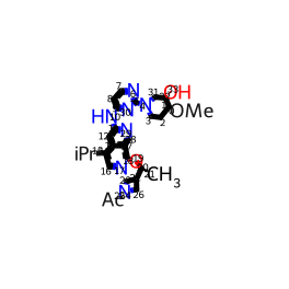 CO[C@H]1CCN(c2nccc(Nc3cc4c(C(C)C)cnc(O[C@@H](C)C5CN(C(C)=O)C5)c4cn3)n2)C[C@@H]1O